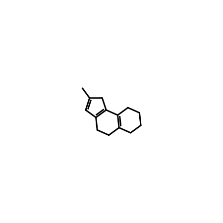 CC1=CC2=C(C1)C1=C(CCCC1)CC2